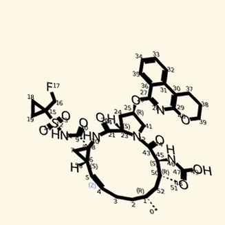 C[C@@H]1CC/C=C\[C@@H]2C[C@@]2(C(=O)NS(=O)(=O)C2(CF)CC2)NC(=O)[C@@H]2C[C@@H](Oc3nc4c(c5ccccc35)CCCO4)CN2C(=O)[C@@H](NC(=O)O)[C@H](C)C1